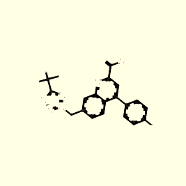 CCC(C)(O)c1nnn(Cc2ccc3c(-c4ccc(F)cc4)cc(C(N)=O)nc3c2)n1